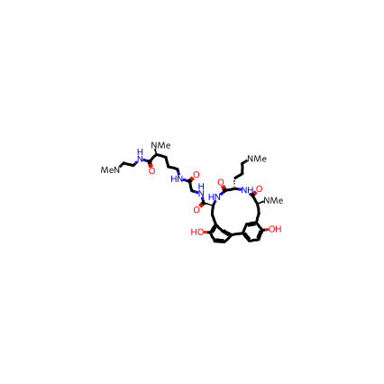 CNCCC[C@@H]1NC(=O)[C@@H](NC)Cc2cc(ccc2O)-c2ccc(O)c(c2)C[C@@H](C(=O)NCC(=O)NCCC[C@H](NC)C(=O)NCCNC)NC1=O